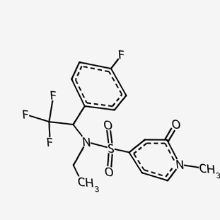 CCN(C(c1ccc(F)cc1)C(F)(F)F)S(=O)(=O)c1ccn(C)c(=O)c1